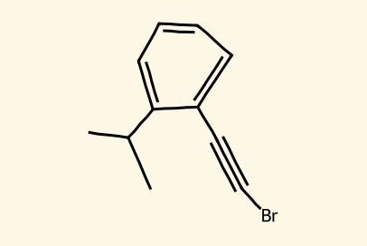 CC(C)c1ccccc1C#CBr